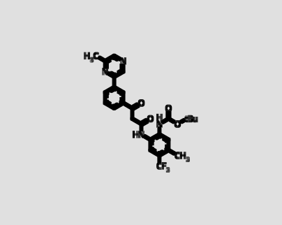 Cc1cncc(-c2cccc(C(=O)CC(=O)Nc3cc(C(F)(F)F)c(C)cc3NC(=O)OC(C)(C)C)c2)n1